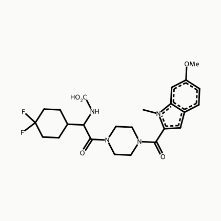 COc1ccc2cc(C(=O)N3CCN(C(=O)C(NC(=O)O)C4CCC(F)(F)CC4)CC3)n(C)c2c1